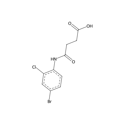 O=C(O)CCC(=O)Nc1ccc(Br)cc1Cl